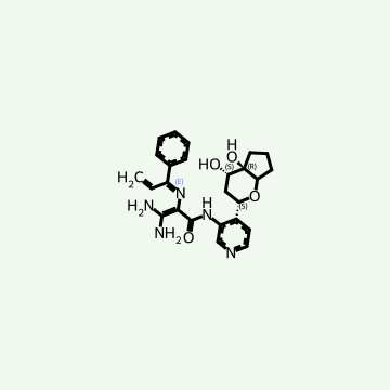 C=C/C(=N\C(C(=O)Nc1cnccc1[C@@H]1C[C@H](O)[C@]2(O)CCCC2O1)=C(N)N)c1ccccc1